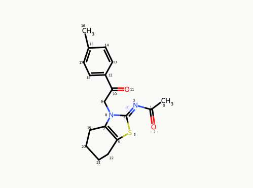 CC(=O)/N=c1\sc2c(n1CC(=O)c1ccc(C)cc1)CCCC2